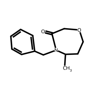 CC1CCOCC(=O)N1Cc1ccccc1